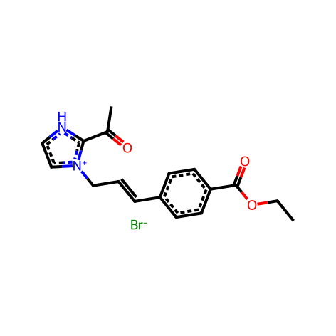 CCOC(=O)c1ccc(C=CC[n+]2cc[nH]c2C(C)=O)cc1.[Br-]